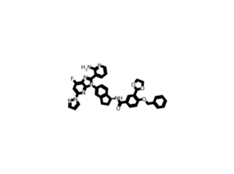 Nc1ncccc1-c1nc2c(F)cc(-n3cccn3)nc2n1-c1ccc2c(c1)CC[C@@H]2NC(=O)c1ccc(OCc2ccccc2)c(C2OCCO2)c1